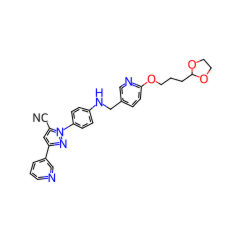 N#Cc1cc(-c2cccnc2)nn1-c1ccc(NCc2ccc(OCCCC3OCCO3)nc2)cc1